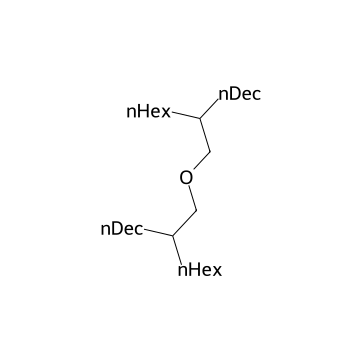 CCCCCCCCCCC(CCCCCC)COCC(CCCCCC)CCCCCCCCCC